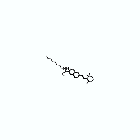 CCCCCCCCNC(=O)c1ccc2cc(C=CC3=C(C)CCCC3(C)C)ccc2c1